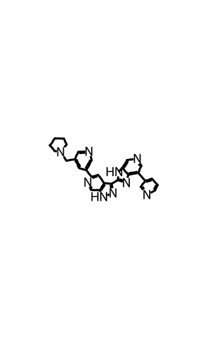 c1cncc(-c2cncc3[nH]c(-c4n[nH]c5cnc(-c6cncc(CN7CCCCC7)c6)cc45)nc23)c1